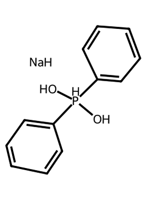 O[PH](O)(c1ccccc1)c1ccccc1.[NaH]